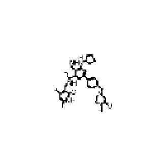 Cc1cc(C)c(CNC(=O)c2cc(-c3ccc(CN4CCNC(=O)C4)cc3)cc(NC3CCCC3)c2C=N)c(=O)[nH]1